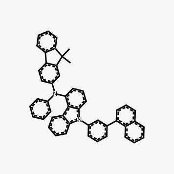 CC1(C)c2ccccc2-c2ccc(N(c3ccccc3)c3cccc4c3c3ccccc3n4-c3cccc(-c4cccc5ccccc45)c3)cc21